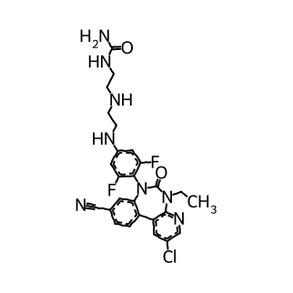 CCN1C(=O)N(c2c(F)cc(NCCNCCNC(N)=O)cc2F)c2cc(C#N)ccc2-c2cc(Cl)cnc21